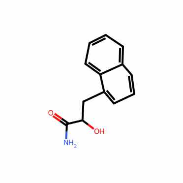 NC(=O)C(O)Cc1cccc2ccccc12